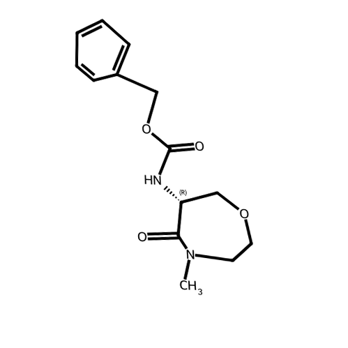 CN1CCOC[C@@H](NC(=O)OCc2ccccc2)C1=O